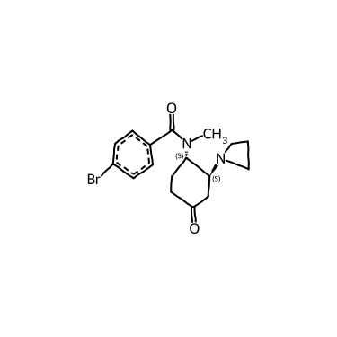 CN(C(=O)c1ccc(Br)cc1)[C@H]1CCC(=O)C[C@@H]1N1CCC1